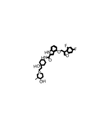 C[C@H]1CN(CC[C@]2(O)CC[C@@H](NC(=O)c3cc4c(OCc5coc6cc(F)cc(F)c56)cccc4[nH]3)CC2)CC[C@@H]1O